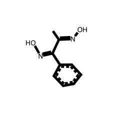 CC(=NO)C(=NO)c1ccccc1